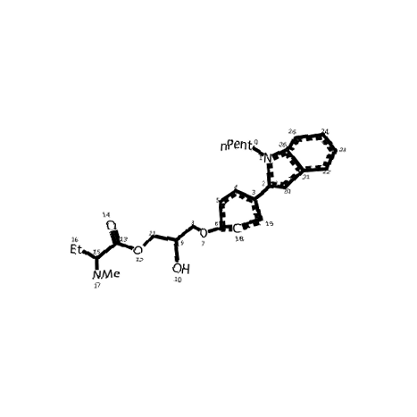 CCCCCn1c(-c2ccc(OCC(O)COC(=O)C(CC)NC)cc2)cc2ccccc21